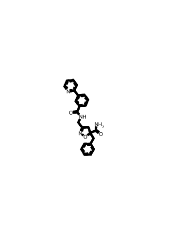 NC(=O)C1(Cc2ccccc2)CC(CNC(=O)c2cccc(-c3ccccn3)c2)=NO1